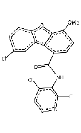 COc1ccc(C(=O)Nc2c(Cl)ccnc2Cl)c2c1oc1ccc(Cl)cc12